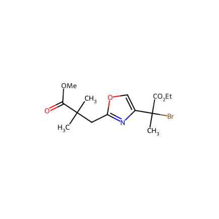 CCOC(=O)C(C)(Br)c1coc(CC(C)(C)C(=O)OC)n1